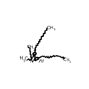 CCCCCCCCCCCCCCCCCCC#Cc1ccc(N=C(CCCC)C(CCCCCCCC)=Nc2ccc(C#CCCCCCCCCCCCCCCCCCC)cc2)cc1.[Pd]